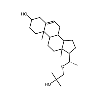 C[C@H](OCC(C)(C)O)C1CCC2C3CC=C4CC(O)CCC4(C)C3CCC21C